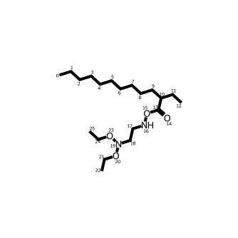 CCCCCCCCCCC(CC)C(=O)ONCCN(OCC)OCC